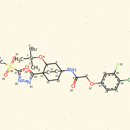 CC(C)(C)[Si](C)(C)OC1CC2(NC(=O)COc3ccc(Cl)c(F)c3)CCC1(c1nnc(S(C)(=O)=O)o1)CC2